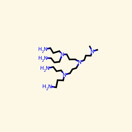 CN(C)CCCN(CCCN(CCCN)CCCN)CCCN(CCCN)CCCN